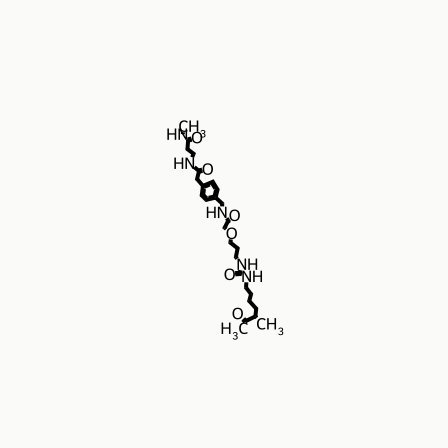 CNC(=O)CCNC(=O)Cc1ccc(CNC(=O)COCCCNC(=O)NCCCCC(C)C(C)=O)cc1